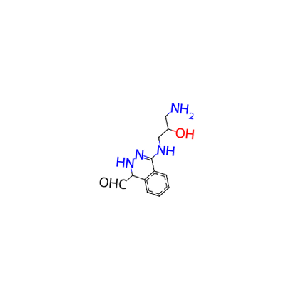 NCC(O)CNC1=NNC(C=O)c2ccccc21